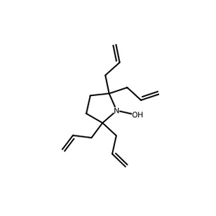 C=CCC1(CC=C)CCC(CC=C)(CC=C)N1O